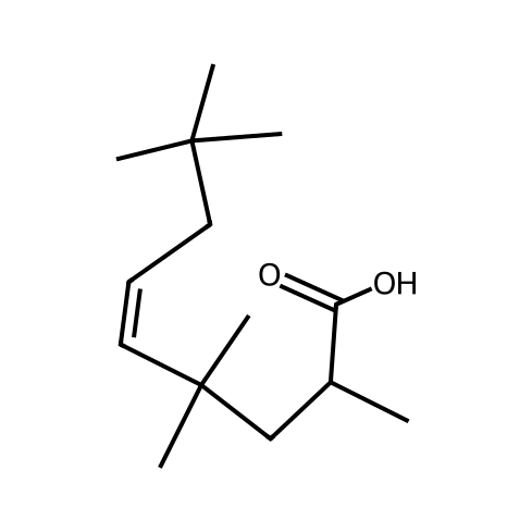 CC(CC(C)(C)/C=C\CC(C)(C)C)C(=O)O